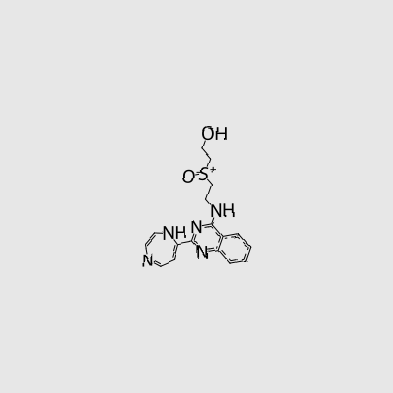 [O-][S+](CCO)CCNc1nc(C2=CC=NC=CN2)nc2ccccc12